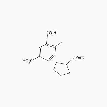 CCCCCC1CCCC1.Cc1ccc(C(=O)O)cc1C(=O)O